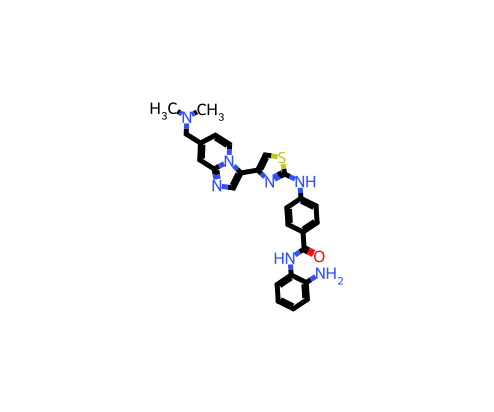 CN(C)Cc1ccn2c(-c3csc(Nc4ccc(C(=O)Nc5ccccc5N)cc4)n3)cnc2c1